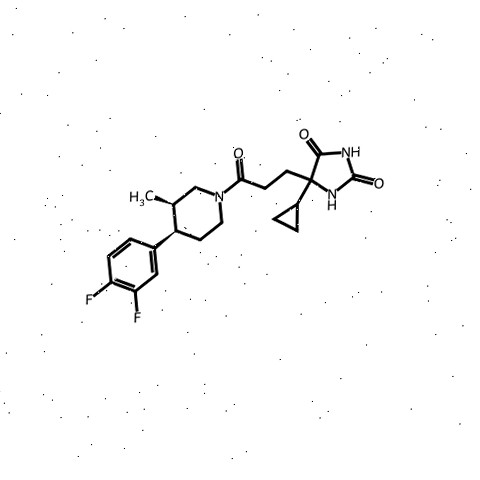 C[C@H]1CN(C(=O)CCC2(C3CC3)NC(=O)NC2=O)CC[C@H]1c1ccc(F)c(F)c1